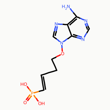 Nc1ncnc2c1ncn2OCCC=CP(=O)(O)O